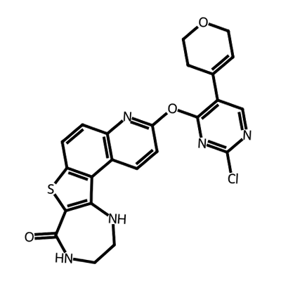 O=C1NCCNc2c1sc1ccc3nc(Oc4nc(Cl)ncc4C4=CCOCC4)ccc3c21